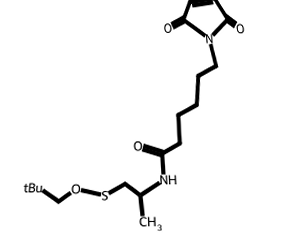 CC(CSOCC(C)(C)C)NC(=O)CCCCCN1C(=O)C=CC1=O